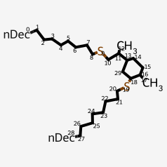 CCCCCCCCCCCCCCCCCCSCC(C)C1CCC(C)C(SCCCCCCCCCCCCCCCCCC)C1